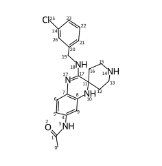 CC(=O)Nc1ccc2c(c1)NC1(CCNCC1)C(NCc1cccc(Cl)c1)=N2